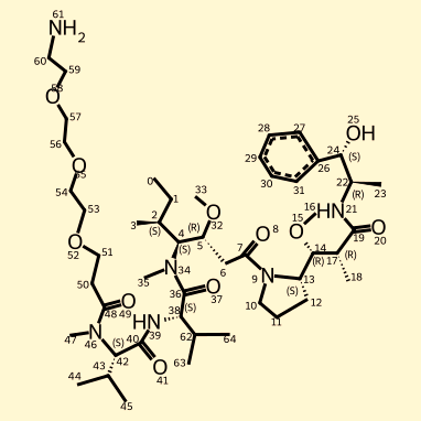 CC[C@H](C)[C@@H]([C@@H](CC(=O)N1CCC[C@H]1[C@H](OC)[C@@H](C)C(=O)N[C@H](C)[C@@H](O)c1ccccc1)OC)N(C)C(=O)[C@@H](NC(=O)[C@H](C(C)C)N(C)C(=O)CCOCCOCCOCCN)C(C)C